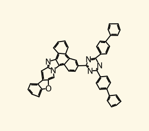 c1ccc(-c2ccc(-c3nc(-c4ccc(-c5ccccc5)cc4)nc(-c4ccc5c(c4)c4ccccc4c4nc6cc7c(cn6c54)oc4ccccc47)n3)cc2)cc1